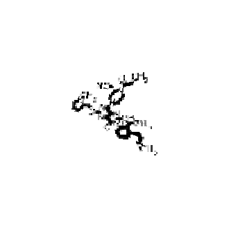 C=C/C=C\c1cccc(-n2c(C)nc3c(N4CCN(C(=O)C=C)[C@@H](CC#N)C4)nc(OCC4CCCN4C)nc3c2=O)c1C(=C)C